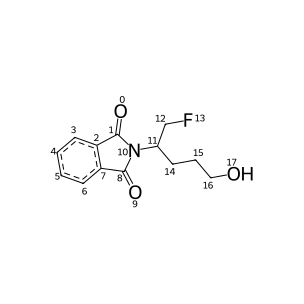 O=C1c2ccccc2C(=O)N1C(CF)CCCO